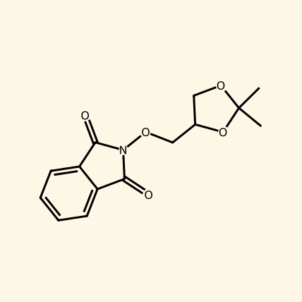 CC1(C)OCC(CON2C(=O)c3ccccc3C2=O)O1